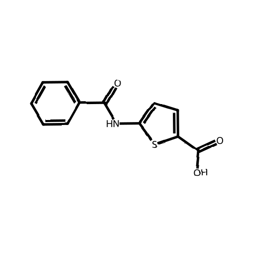 O=C(Nc1ccc(C(=O)O)s1)c1ccccc1